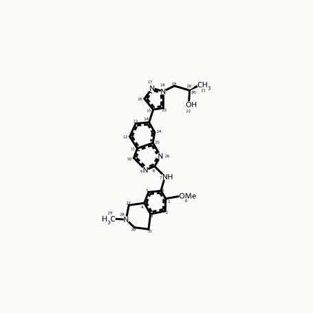 COc1cc2c(cc1Nc1ncc3ccc(-c4cnn(C[C@@H](C)O)c4)cc3n1)CN(C)CC2